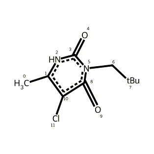 Cc1[nH]c(=O)n(CC(C)(C)C)c(=O)c1Cl